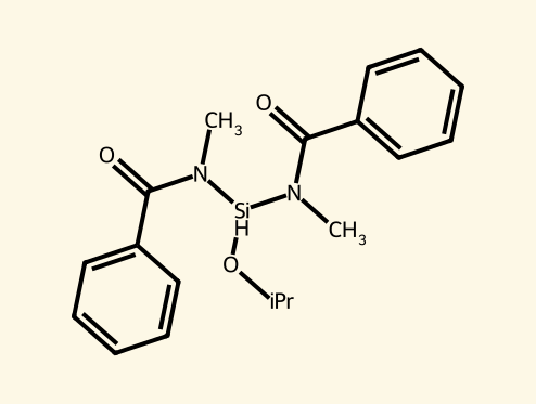 CC(C)O[SiH](N(C)C(=O)c1ccccc1)N(C)C(=O)c1ccccc1